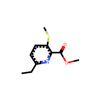 CCc1ccc(SC)c(C(=O)OC)n1